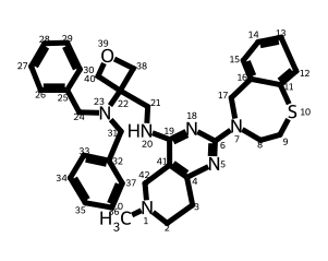 CN1CCc2nc(N3CCSc4ccccc4C3)nc(NCC3(N(Cc4ccccc4)Cc4ccccc4)COC3)c2C1